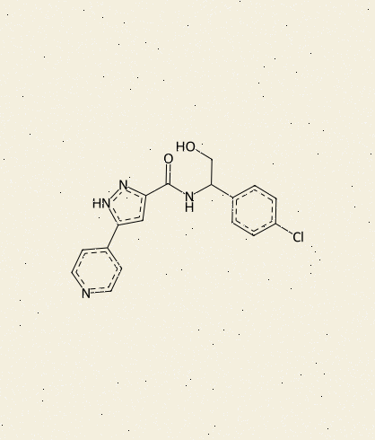 O=C(NC(CO)c1ccc(Cl)cc1)c1cc(-c2ccncc2)[nH]n1